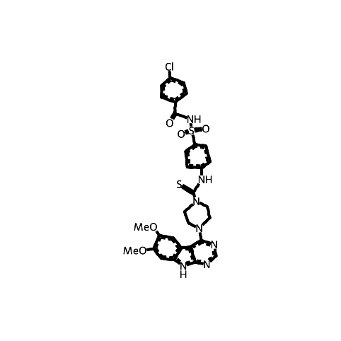 COc1cc2[nH]c3ncnc(N4CCN(C(=S)Nc5ccc(S(=O)(=O)NC(=O)c6ccc(Cl)cc6)cc5)CC4)c3c2cc1OC